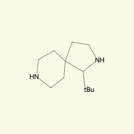 CC(C)(C)C1NCCC12CCNCC2